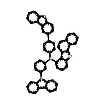 c1cc(N(c2ccc(-c3ccc4sc5ccccc5c4c3)cc2)c2cccc3oc4c5ccccc5ccc4c23)cc(-n2c3ccccc3c3ccccc32)c1